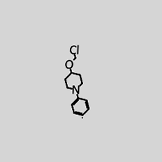 ClCOC1CCN(c2cc[c]cc2)CC1